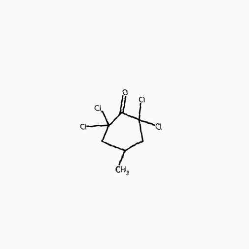 CC1CC(Cl)(Cl)C(=O)C(Cl)(Cl)C1